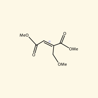 COC/C(=C\C(=O)OC)C(=O)OC